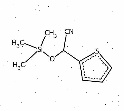 C[Si](C)(C)OC(C#N)c1cccs1